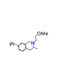 COCCN1Cc2cc(C(C)C)ccc2CC1C